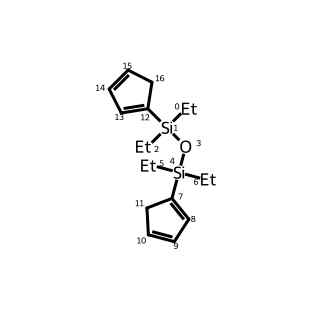 CC[Si](CC)(O[Si](CC)(CC)C1=CC=CC1)C1=CC=CC1